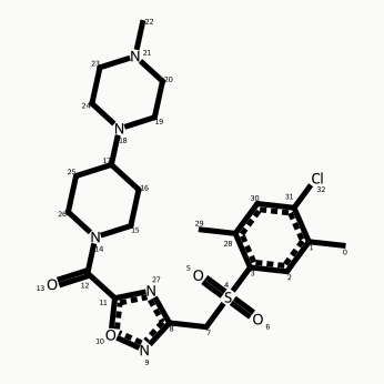 Cc1cc(S(=O)(=O)Cc2noc(C(=O)N3CCC(N4CCN(C)CC4)CC3)n2)c(C)cc1Cl